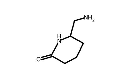 NCC1CCCC(=O)N1